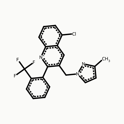 Cc1ccn(Cc2cc3c(Cl)cccc3nc2-c2ccccc2C(F)(F)F)n1